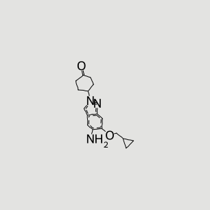 Nc1cc2cn(C3CCC(=O)CC3)nc2cc1OCC1CC1